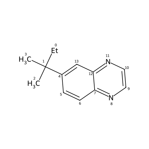 CCC(C)(C)c1ccc2nccnc2c1